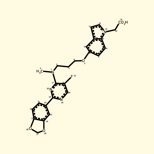 CN(CCCOc1ccc2c(ccn2CC(=O)O)c1)c1nc(-c2ccc3c(c2)OCO3)ncc1F